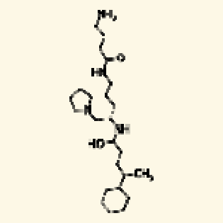 CC(CCC(O)N[C@@H](CCCNC(=O)CCCN)CN1CCCC1)C1CCCCC1